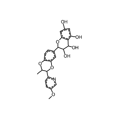 COc1ccc(C2Oc3cc(C4Oc5cc(O)cc(O)c5C(O)C4O)ccc3OC2C)nc1